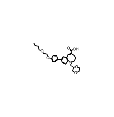 CCCCOCCOc1ccc(-c2ccc3c(c2)/C=C(/C(=O)O)CCCN3C[C@@H]2COCCO2)cc1